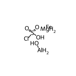 O=S(=O)(O)Cl.[Fe].[MgH2].[OH][AlH2]